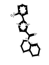 O=C(c1csc(-c2ccccc2[N+](=O)[O-])n1)N1CCCC2CCCC=C21